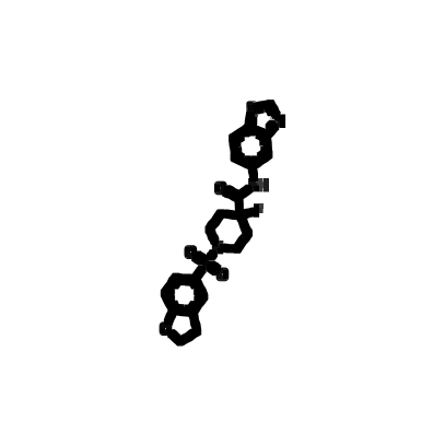 O=C(Nc1ccc2scnc2c1)C1(F)CCN(S(=O)(=O)c2ccc3c(c2)CCO3)CC1